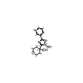 CC(C)n1nc(-c2c[c]cnc2)nc1C1(O)CCOCC1